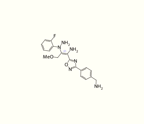 COC/C(=C(/N)c1nc(-c2ccc(CN)cc2)no1)N(N)c1ccccc1F